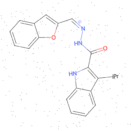 CC(C)c1c(C(=O)N/N=C\c2cc3ccccc3o2)[nH]c2ccccc12